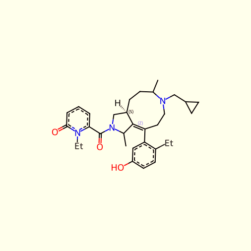 CCc1ccc(O)cc1/C1=C2\C(C)N(C(=O)c3cccc(=O)n3CC)C[C@H]2CCC(C)N(CC2CC2)CC1